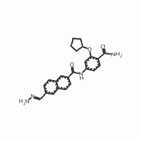 NN=Cc1ccc2cc(C(=O)Nc3ccc(C(N)=O)c(OC4CCCC4)c3)ccc2c1